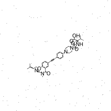 CC(C)=CCOc1ccc(C#Cc2ccc(N3CCN(S(=O)(=O)N[C@@H](C(=O)O)C(C)C)CC3)cc2)cc1C(=O)N(C)C#N